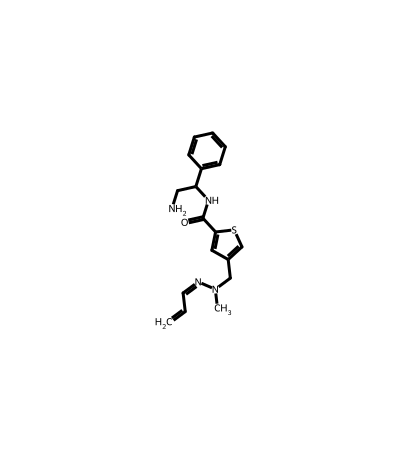 C=C/C=N\N(C)Cc1csc(C(=O)NC(CN)c2ccccc2)c1